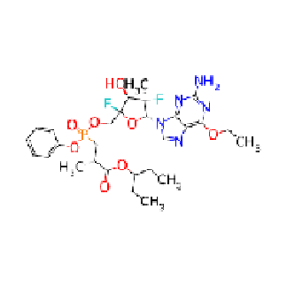 CCOc1nc(N)nc2c1ncn2[C@@H]1O[C@](F)(COP(=O)(C[C@@H](C)C(=O)OC(CC)CC)Oc2ccccc2)[C@@H](O)[C@@]1(C)F